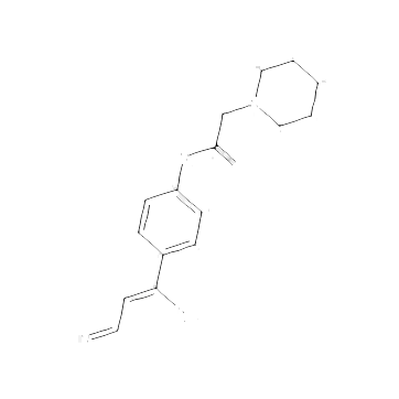 N=C/C=C(\N)c1ccc(NC(=O)CN2CCCCC2)cc1